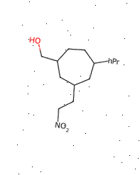 CCCC1CCC(CO)CC(CC[N+](=O)[O-])C1